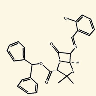 CC1(C)S[C@@H]2C(/N=C/c3ccccc3Cl)C(=O)N2[C@H]1C(=O)OC(c1ccccc1)c1ccccc1